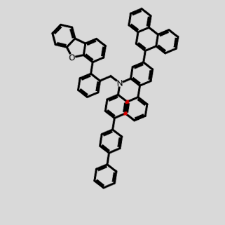 c1ccc(-c2ccc(-c3ccc(N(Cc4ccccc4-c4cccc5c4oc4ccccc45)c4cc(-c5cc6ccccc6c6ccccc56)ccc4-c4ccccc4)cc3)cc2)cc1